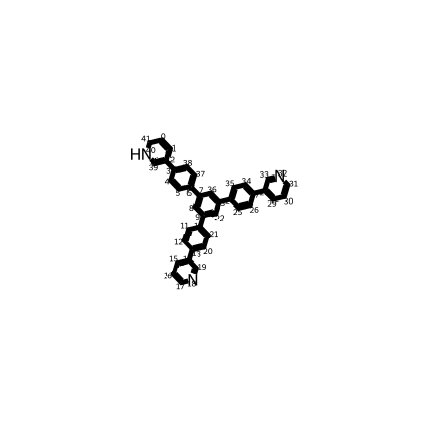 C1=CC(c2ccc(-c3cc(-c4ccc(-c5cccnc5)cc4)cc(-c4ccc(-c5cccnc5)cc4)c3)cc2)=CNC1